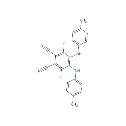 Cc1ccc(Nc2c(F)c(C#N)c(C#N)c(F)c2Nc2ccc(C)cc2)cc1